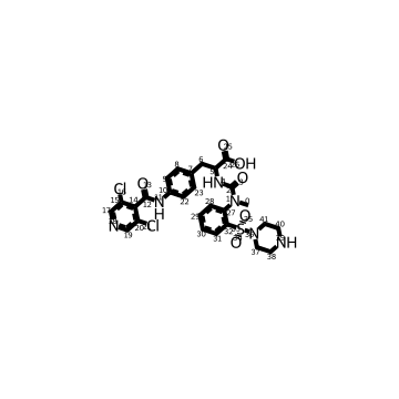 CN(C(=O)NC(Cc1ccc(NC(=O)c2c(Cl)cncc2Cl)cc1)C(=O)O)c1ccccc1S(=O)(=O)N1CCNCC1